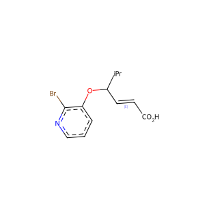 CC(C)C(/C=C/C(=O)O)Oc1cccnc1Br